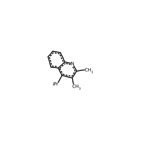 Cc1nc2ccccc2c(C(C)C)c1C